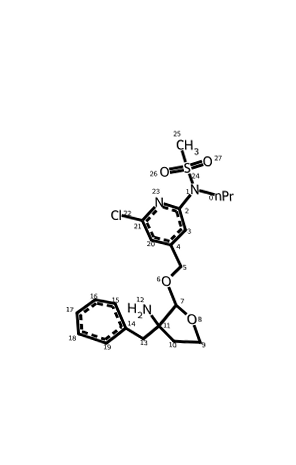 CCCN(c1cc(COC2OCCC2(N)Cc2ccccc2)cc(Cl)n1)S(C)(=O)=O